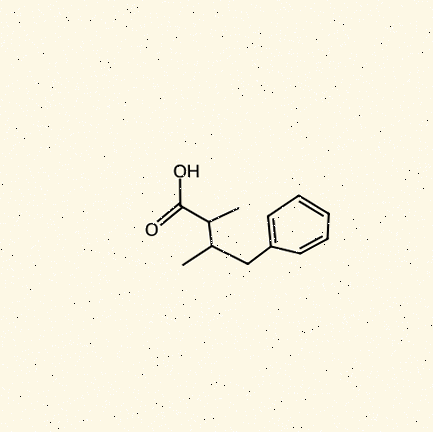 CC(Cc1ccccc1)C(C)C(=O)O